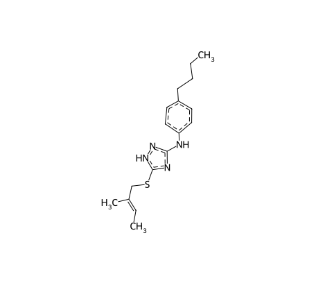 CC=C(C)CSc1nc(Nc2ccc(CCCC)cc2)n[nH]1